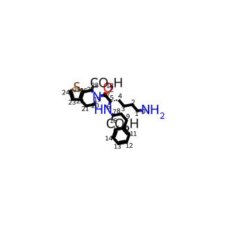 NCCCC[C@H](N[C@@H](CCc1ccccc1)C(=O)O)C(=O)N1CCc2ccsc2C1C(=O)O